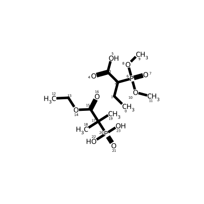 CCC(C(=O)O)P(=O)(OC)OC.CCOC(=O)C(C)(C)P(=O)(O)O